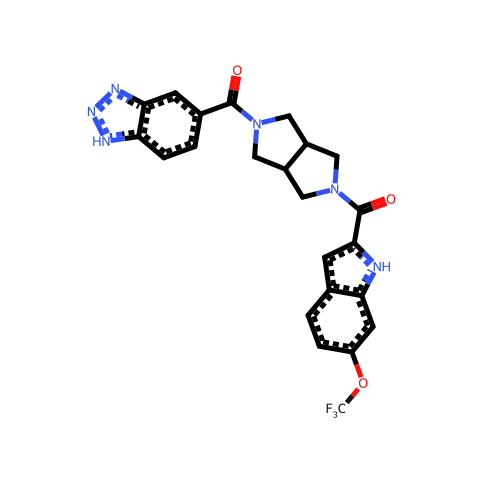 O=C(c1ccc2[nH]nnc2c1)N1CC2CN(C(=O)c3cc4ccc(OC(F)(F)F)cc4[nH]3)CC2C1